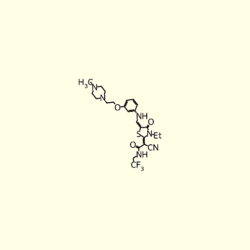 CCn1c(=O)c(=CNc2cccc(OCCN3CCN(C)CC3)c2)s/c1=C(/C#N)C(=O)NCC(F)(F)F